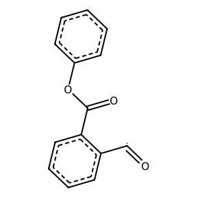 O=[C]c1ccccc1C(=O)Oc1ccccc1